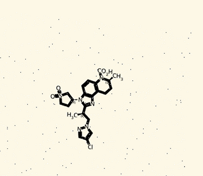 C[C@H](Cn1cc(Cl)cn1)c1nc2c3c(ccc2n1[C@@H]1CCS(=O)(=O)C1)N(C(=O)O)[C@@H](C)CC3